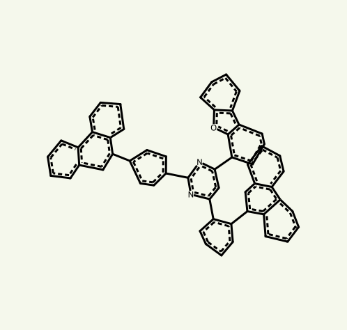 c1ccc(-c2cc3ccccc3c3ccccc23)c(-c2cc(-c3cccc4c3oc3ccccc34)nc(-c3ccc(-c4cc5ccccc5c5ccccc45)cc3)n2)c1